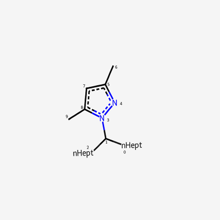 CCCCCCCC(CCCCCCC)n1nc(C)cc1C